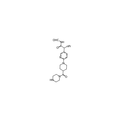 CCCC(C(=O)NC=O)c1ccc(N2CCC(C(=O)N3CCNCC3)CC2)nc1